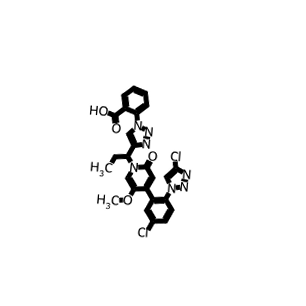 CCC(c1cn(-c2ccccc2C(=O)O)nn1)n1cc(OC)c(-c2cc(Cl)ccc2-n2cc(Cl)nn2)cc1=O